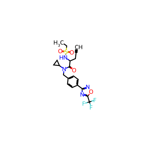 C#CCC(NS(=O)(=O)CC)C(=O)N(Cc1ccc(-c2noc(C(F)(F)F)n2)cc1)C1CC1